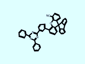 N#Cc1cccc2c1Oc1c(-c3cccc(-c4nc(-c5ccccc5)nc(-c5ccccc5)n4)c3)cccc1C21c2ccccc2-c2ccccc21